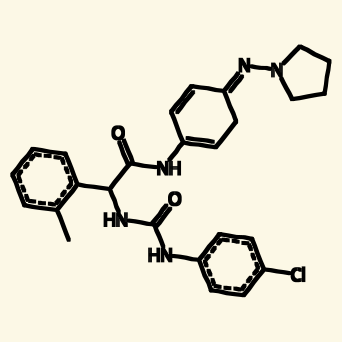 Cc1ccccc1C(NC(=O)Nc1ccc(Cl)cc1)C(=O)NC1=CCC(=NN2CCCC2)C=C1